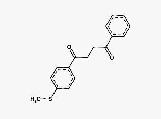 CSc1ccc(C(=O)CCC(=O)c2ccccc2)cc1